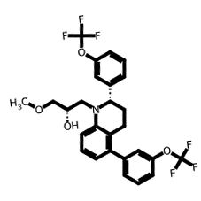 COC[C@@H](O)CN1c2cccc(-c3cccc(OC(F)(F)F)c3)c2CC[C@H]1c1cccc(OC(F)(F)F)c1